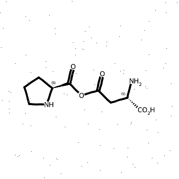 N[C@@H](CC(=O)OC(=O)[C@@H]1CCCN1)C(=O)O